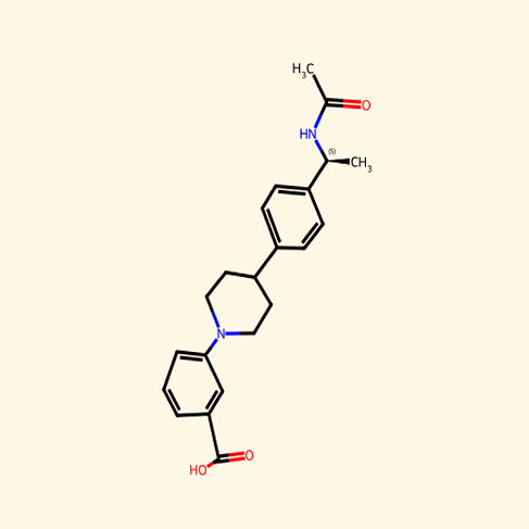 CC(=O)N[C@@H](C)c1ccc(C2CCN(c3cccc(C(=O)O)c3)CC2)cc1